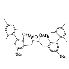 CO[C@H](Cc1cc(C(C)(C)C)cc(-c2c(C)cc(C)cc2C)c1O)[C@@H](Cc1cc(C(C)(C)C)cc(-c2c(C)cc(C)cc2C)c1O)OC